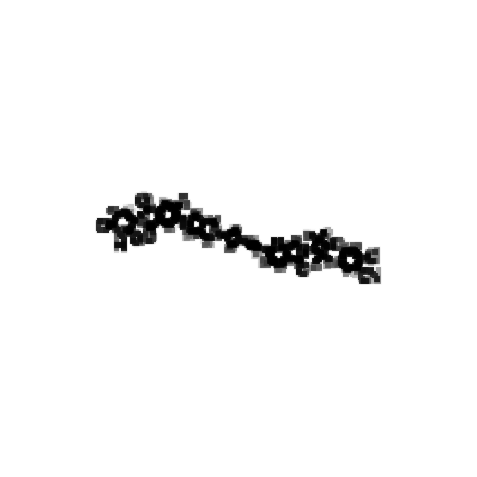 CC1(C)[C@H](Oc2ccc(C#N)c(Cl)c2)C(C)(C)[C@H]1N1Cc2nc(C#CC3CC(N4CC5CN(c6cc7c(cc6F)C(=O)N(C6CCC(=O)NC6=O)C7=O)CC5C4)C3)ccc2C1=O